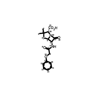 CC1(C)SC2[C@H](NC(=O)COc3ccccc3)C(=O)N2[C@H]1C(=O)O